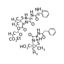 CC1(C)S[C@@H]2[C@H](NC(=O)Cc3ccccc3)C(=O)N2[C@H]1C(=O)O.CCOC(=O)OC(C)OC(=O)[C@@H]1N2C(=O)[C@@H](NC(=O)[C@H](N)c3ccccc3)[C@H]2SC1(C)C